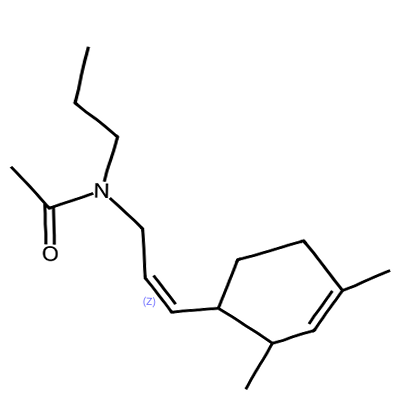 CCCN(C/C=C\C1CCC(C)=CC1C)C(C)=O